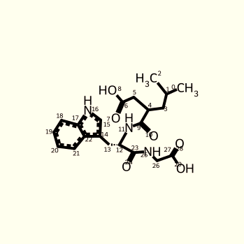 CC(C)CC(CC(=O)O)C(=O)N[C@@H](Cc1c[nH]c2ccccc12)C(=O)NCC(=O)O